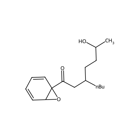 CCCCC(CCC(C)O)CC(=O)C12C=CC=CC1O2